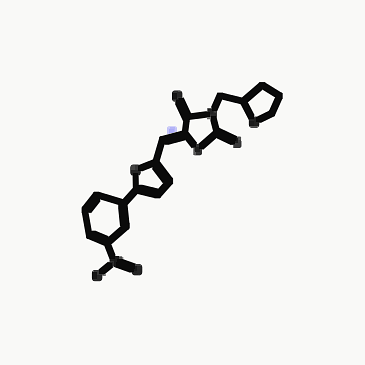 O=C1/C(=C/c2ccc(-c3cccc([N+](=O)[O-])c3)o2)SC(=S)N1CC1CCCO1